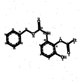 CCC(=O)Oc1c(O)cccc1NC(=O)OCc1ccccc1